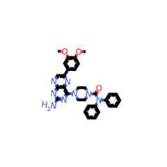 COc1ccc(-c2cnc3nc(N)nc(N4CCN(C(=O)N(c5ccccc5)c5ccccc5)CC4)c3n2)cc1OC